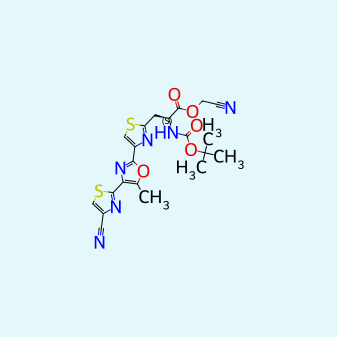 Cc1oc(-c2csc(C[C@H](NC(=O)OC(C)(C)C)C(=O)OCC#N)n2)nc1-c1nc(C#N)cs1